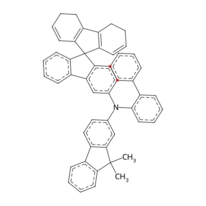 CC1(C)c2ccccc2-c2ccc(N(c3ccc4c(c3)-c3ccccc3C43C4=C(CCC=C4)C4=C3C=CCC4)c3ccccc3-c3ccccc3)cc21